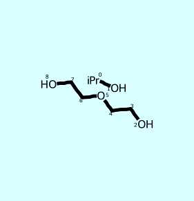 CC(C)O.OCCOCCO